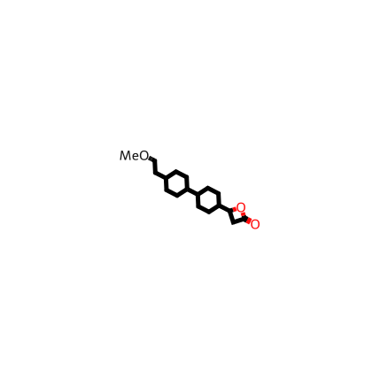 COCCC1CCC(C2CCC(C3CC(=O)O3)CC2)CC1